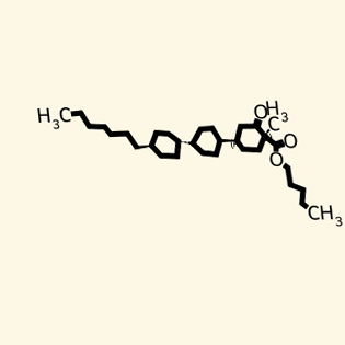 CCCCCCC[C@H]1CC[C@H](C2CCC([C@@H]3CC[C@](C)(C(=O)OCCCCC)C(=O)C3)CC2)CC1